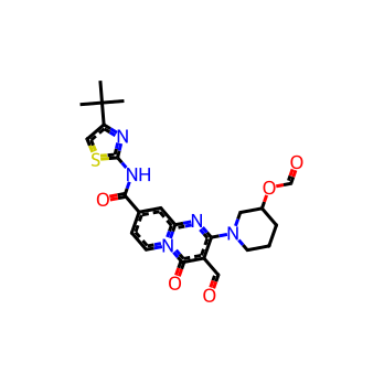 CC(C)(C)c1csc(NC(=O)c2ccn3c(=O)c(C=O)c(N4CCCC(OC=O)C4)nc3c2)n1